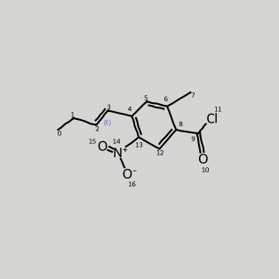 CC/C=C/c1cc(C)c(C(=O)Cl)cc1[N+](=O)[O-]